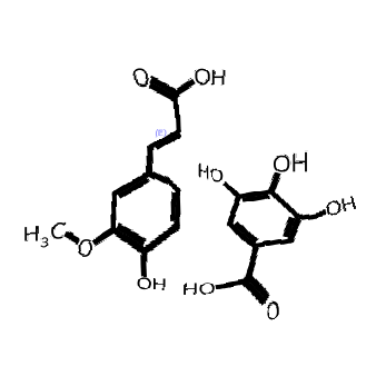 COc1cc(/C=C/C(=O)O)ccc1O.O=C(O)c1cc(O)c(O)c(O)c1